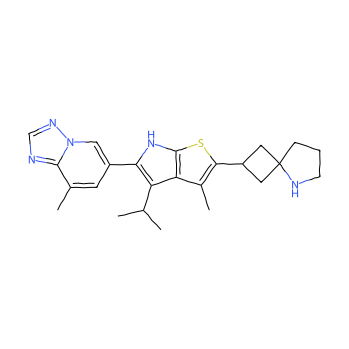 Cc1c(C2CC3(CCCN3)C2)sc2[nH]c(-c3cc(C)c4ncnn4c3)c(C(C)C)c12